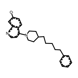 [O]c1ccc2c(N3CCC(CCCCCc4ccccc4)CC3)ccnc2c1